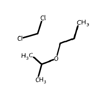 CCCOC(C)C.ClCCl